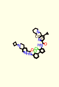 O=C(Nc1cccc(-c2cccc(NC(=O)c3cc(C4CC4)c(CN4CCCC[C@H]4C(=O)O)cn3)c2Cl)c1Cl)c1cc2c(cn1)CN(C1CCC1)CC2